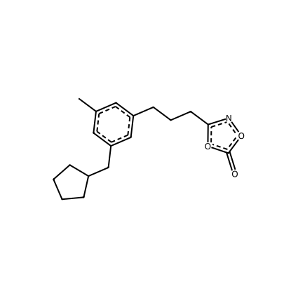 Cc1cc(CCCc2noc(=O)o2)cc(CC2CCCC2)c1